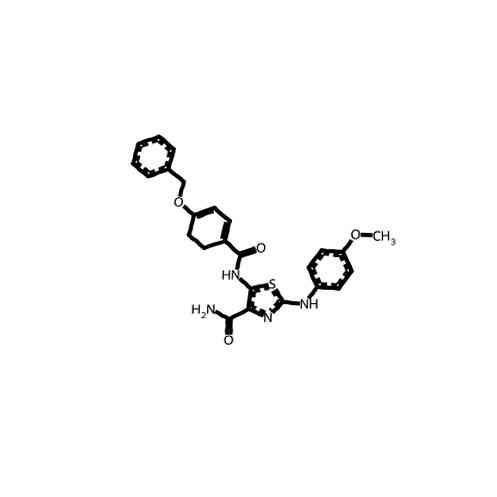 COc1ccc(Nc2nc(C(N)=O)c(NC(=O)C3=CC=C(OCc4ccccc4)CC3)s2)cc1